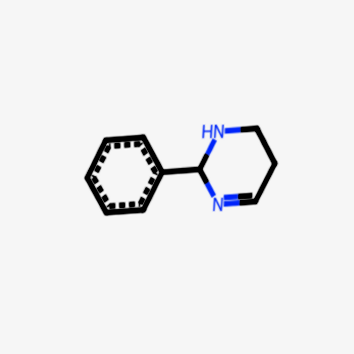 C1=NC(c2ccccc2)NCC1